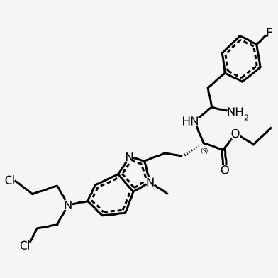 CCOC(=O)[C@H](CCc1nc2cc(N(CCCl)CCCl)ccc2n1C)NC(N)Cc1ccc(F)cc1